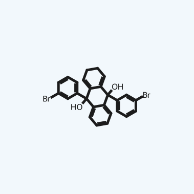 OC1(c2cccc(Br)c2)C2=CCCC=C2C(O)(c2cccc(Br)c2)c2ccccc21